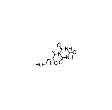 CC(C(O)CCO)n1c(=O)[nH]c(=O)[nH]c1=O